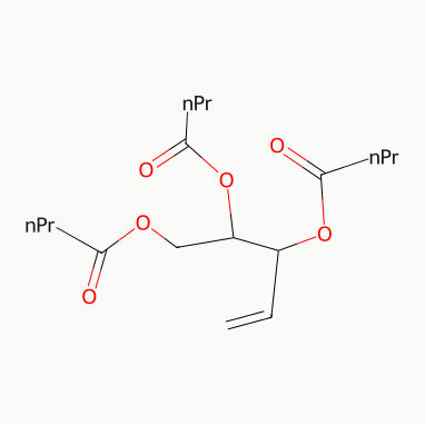 C=CC(OC(=O)CCC)C(COC(=O)CCC)OC(=O)CCC